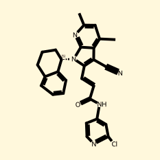 Cc1cc(C)c2c(C#N)c(C=CC(=O)Nc3ccnc(Cl)c3)n([C@H]3CCCc4ccccc43)c2n1